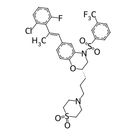 C/C(=C\c1ccc2c(c1)N(S(=O)(=O)c1cccc(C(F)(F)F)c1)C[C@H](CCCN1CCS(=O)(=O)CC1)O2)c1c(F)cccc1Cl